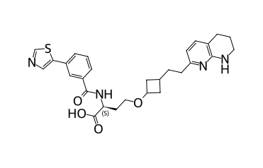 O=C(N[C@@H](CCOC1CC(CCc2ccc3c(n2)NCCC3)C1)C(=O)O)c1cccc(-c2cncs2)c1